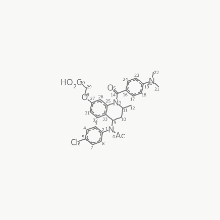 CC(=O)N(c1ccc(Cl)cc1)C1CC(C)N(C(=O)c2ccc(N(C)C)cc2)c2cc(OCC(=O)O)ccc21